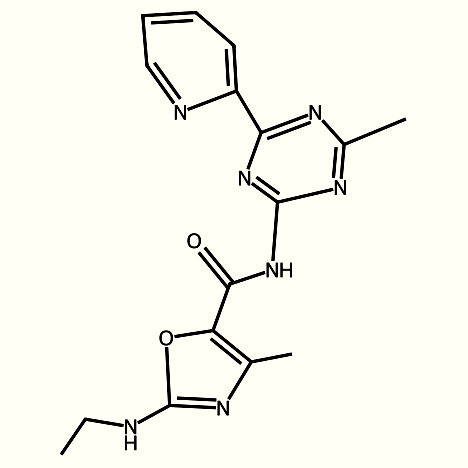 CCNc1nc(C)c(C(=O)Nc2nc(C)nc(-c3ccccn3)n2)o1